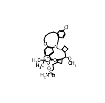 CO[C@H](C1=CC(CCS(N)(=O)=O)C1)[C@@H]1CC[C@H]1CN1Cc2ccc(Cl)cc2CCCCOc2ccc(C(=O)OC(C)(C)C)cc21